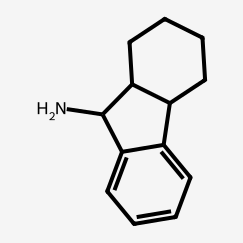 NC1c2ccccc2C2CCCCC12